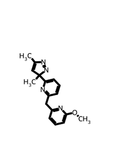 COc1cccc(Cc2cccc(C3(C)C=C(C)N=N3)n2)n1